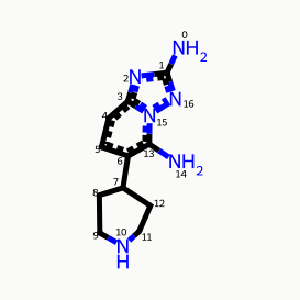 Nc1nc2ccc(C3CCNCC3)c(N)n2n1